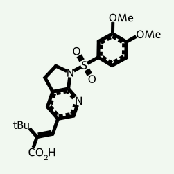 COc1ccc(S(=O)(=O)N2CCc3cc(C=C(C(=O)O)C(C)(C)C)cnc32)cc1OC